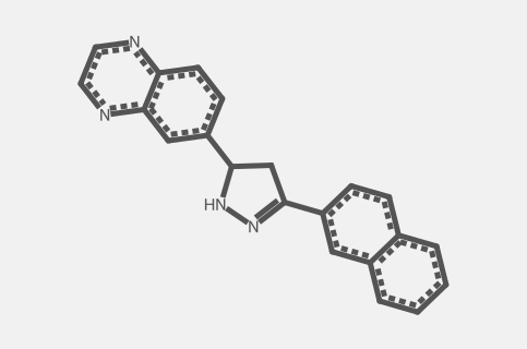 c1ccc2cc(C3=NNC(c4ccc5nccnc5c4)C3)ccc2c1